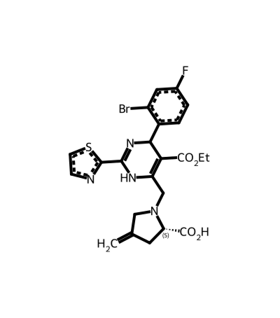 C=C1C[C@@H](C(=O)O)N(CC2=C(C(=O)OCC)C(c3ccc(F)cc3Br)N=C(c3nccs3)N2)C1